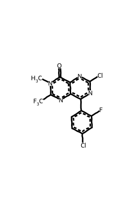 Cn1c(C(F)(F)F)nc2c(-c3ccc(Cl)cc3F)nc(Cl)nc2c1=O